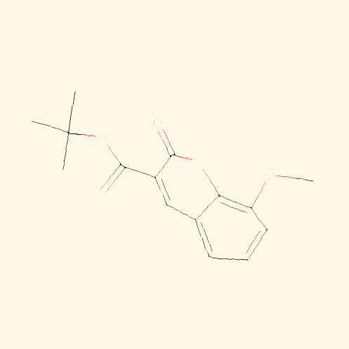 COc1cccc2cc(C(=O)OC(C)(C)C)c(=O)oc12